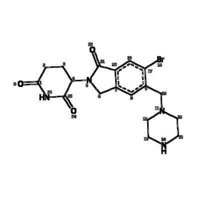 O=C1CCC(N2Cc3cc(CN4CCNCC4)c(Br)cc3C2=O)C(=O)N1